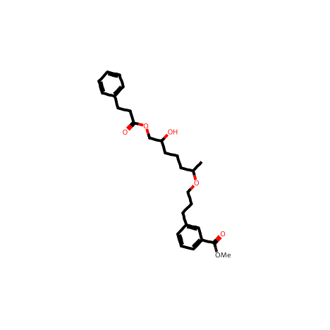 COC(=O)c1cccc(CCCOC(C)CCCC(O)COC(=O)CCc2ccccc2)c1